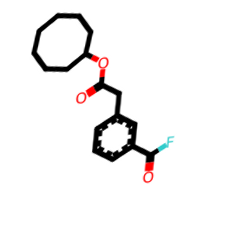 O=C(Cc1cccc(C(=O)F)c1)OC1CCCCCCC1